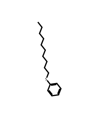 CCCCCCCCCCSc1cc[c]cc1